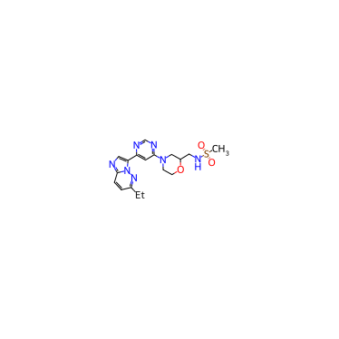 CCc1ccc2ncc(-c3cc(N4CCOC(CNS(C)(=O)=O)C4)ncn3)n2n1